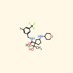 CC(C)(O)[C@]1(C(=O)NCc2cc(I)cc(C(F)(F)F)c2)CCC(NC2CCOCC2)C1